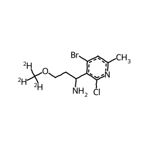 [2H]C([2H])([2H])OCCC(N)c1c(Br)cc(C)nc1Cl